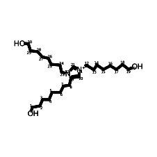 OCCCCCCCCc1c[n+](CCCCCCCCO)cn1CCCCCCCCO